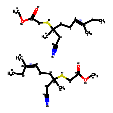 CC/C(C)=C/CCC(C)(CC#N)SCC(=O)OC.CC/C(C)=C\CCC(C)(CC#N)SCC(=O)OC